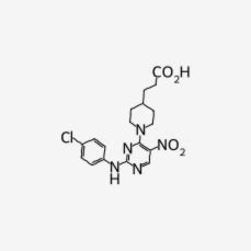 O=C(O)CCC1CCN(c2nc(Nc3ccc(Cl)cc3)ncc2[N+](=O)[O-])CC1